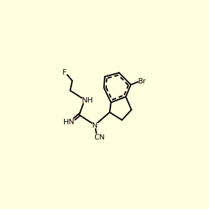 N#CN(C(=N)NCCF)C1CCc2c(Br)cccc21